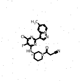 Cc1ccn2ncc(-c3nc(Cl)c(F)c(N[C@@H]4CCCN(C(=O)CC#N)C4)n3)c2c1